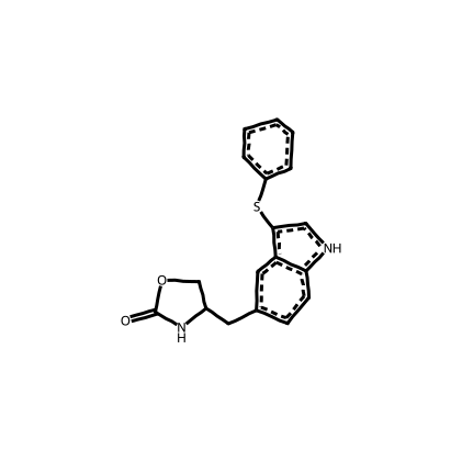 O=C1NC(Cc2ccc3[nH]cc(Sc4ccccc4)c3c2)CO1